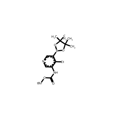 CCc1c(NC(=O)OC(C)(C)C)cncc1B1OC(C)(C)C(C)(C)O1